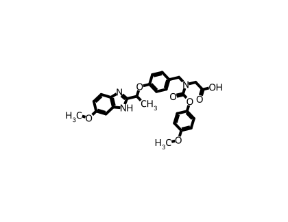 COc1ccc(OC(=O)N(CC(=O)O)Cc2ccc(OC(C)c3nc4ccc(OC)cc4[nH]3)cc2)cc1